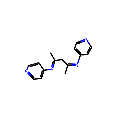 CC(CC(C)=Nc1ccncc1)=Nc1ccncc1